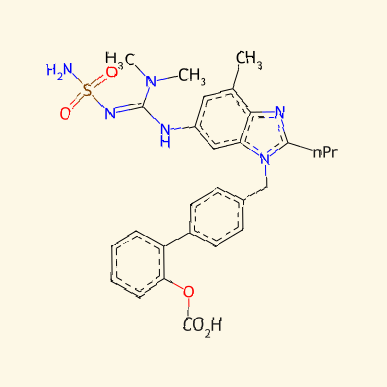 CCCc1nc2c(C)cc(NC(=NS(N)(=O)=O)N(C)C)cc2n1Cc1ccc(-c2ccccc2OC(=O)O)cc1